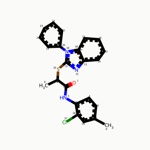 Cc1ccc(NC(=O)C(C)Sc2nc3ccccc3n2-c2ccccc2)c(Cl)c1